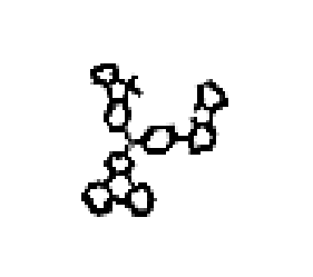 CC1(C)c2ccccc2-c2ccc(N(c3ccc(-c4cccc5c4oc4ccccc45)cc3)c3ccc4c5ccccc5c5ccccc5c4c3)cc21